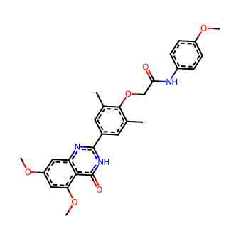 COc1ccc(NC(=O)COc2c(C)cc(-c3nc4cc(OC)cc(OC)c4c(=O)[nH]3)cc2C)cc1